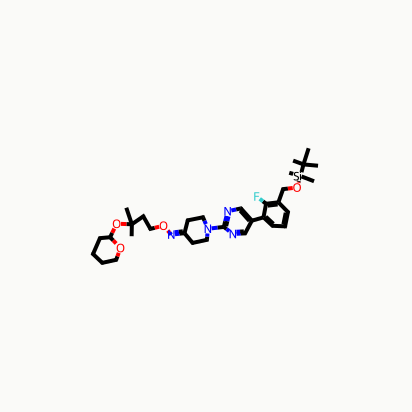 CC(C)(CCON=C1CCN(c2ncc(-c3cccc(CO[Si](C)(C)C(C)(C)C)c3F)cn2)CC1)OC1CCCCO1